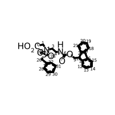 O=C(O)CN(CCNC(=O)OCC1c2ccccc2-c2ccccc21)S(=O)(=O)Cc1ccccc1